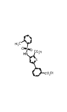 CCOC(=O)c1cccc(-c2cc(NS(=O)(=O)c3ccccc3C)c(C(=O)O)s2)c1